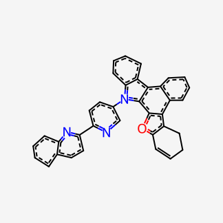 C1=Cc2oc3c(c2CC1)c1ccccc1c1c2ccccc2n(-c2ccc(-c4ccc5ccccc5n4)nc2)c31